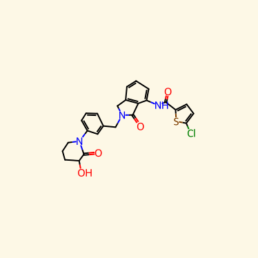 O=C(Nc1cccc2c1C(=O)N(Cc1cccc(N3CCCC(O)C3=O)c1)C2)c1ccc(Cl)s1